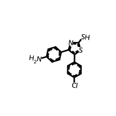 Nc1ccc(-c2nc(S)sc2-c2ccc(Cl)cc2)cc1